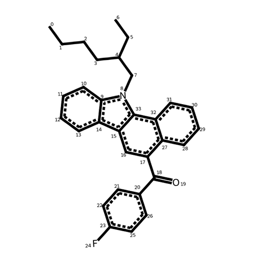 CCCCC(CC)Cn1c2ccccc2c2cc(C(=O)c3ccc(F)cc3)c3ccccc3c21